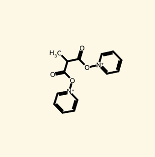 CC(C(=O)O[n+]1ccccc1)C(=O)O[n+]1ccccc1